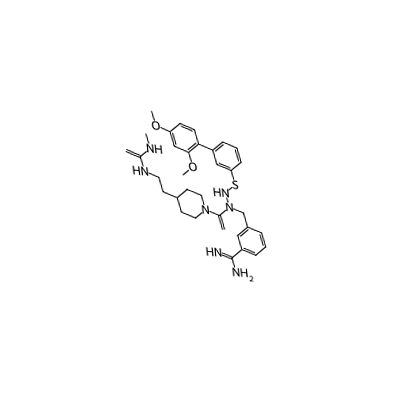 C=C(NC)NCCC1CCN(C(=C)N(Cc2cccc(C(=N)N)c2)NSc2cccc(-c3ccc(OC)cc3OC)c2)CC1